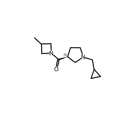 CC1CN(C(=O)[C@H]2CCN(CC3CC3)C2)C1